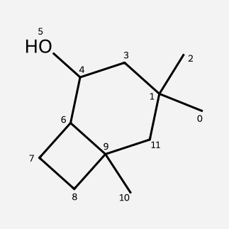 CC1(C)CC(O)C2CCC2(C)C1